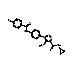 CCCc1c(C(=O)NC2CC2)nnn1-c1ccc(NC(=O)c2ccc(F)cc2)cc1